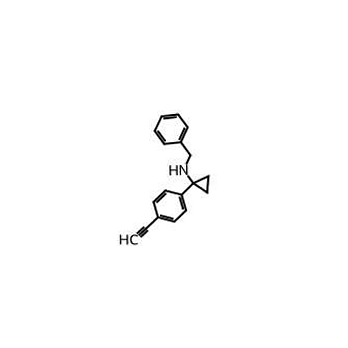 C#Cc1ccc(C2(NCc3ccccc3)CC2)cc1